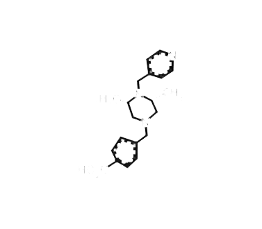 C[C@@H]1CN(Cc2ccc(C(=O)O)cc2)C[C@H](C)N1Cc1ccncc1